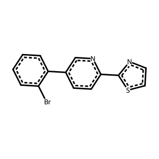 Brc1ccccc1-c1ccc(-c2nccs2)nc1